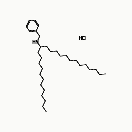 CCCCCCCCCCCCCC(CCCCCCCCCCCC)NCc1ccccc1.Cl